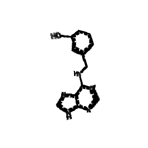 Oc1cccc(CNc2ncnc3[nH]cnc23)c1